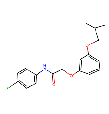 CC(C)COc1cccc(OCC(=O)Nc2ccc(F)cc2)c1